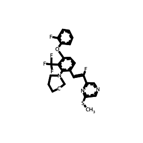 CSc1cncc(C(F)=Cc2ccc(Oc3ccccc3F)c(C(F)(F)F)c2N2CCCCC2)n1